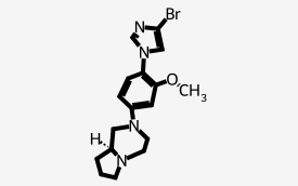 COc1cc(N2CCN3CCC[C@H]3C2)ccc1-n1cnc(Br)c1